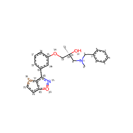 CN(Cc1ccccc1)C[C@](C)(O)COc1cccc(-c2noc3ccsc23)c1